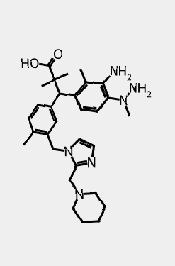 Cc1ccc(C(c2ccc(N(C)N)c(N)c2C)C(C)(C)C(=O)O)cc1Cn1ccnc1CN1CCCCC1